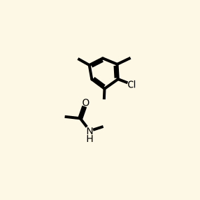 CNC(C)=O.Cc1cc(C)c(Cl)c(C)c1